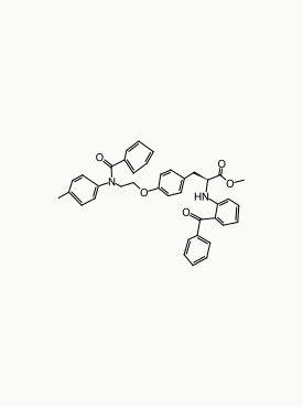 COC(=O)[C@H](Cc1ccc(OCCN(C(=O)c2ccccc2)c2ccc(C)cc2)cc1)Nc1ccccc1C(=O)c1ccccc1